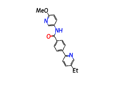 CCc1ccc(-c2ccc(C(=O)Nc3ccc(OC)nc3)cc2)nc1